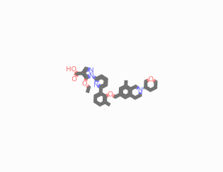 CCOc1c(C(=O)O)cnn1-c1cccc(C2=CCCC(C)=C2OCc2cc(C)c3c(c2)CCN([C@H]2CCCOC2)C3)n1